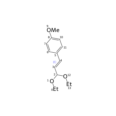 CCOC(/C=C/c1ccc(OC)cc1)OCC